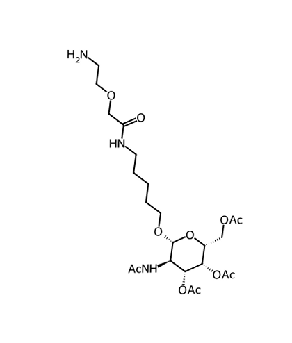 CC(=O)N[C@H]1[C@H](OCCCCCNC(=O)COCCN)O[C@H](COC(C)=O)[C@H](OC(C)=O)[C@@H]1OC(C)=O